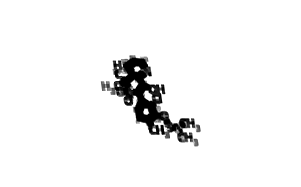 Cc1ccc(C2=C(O)c3ncccc3C(C)(C)S2(=O)=O)c(Cl)c1OSN(C)C